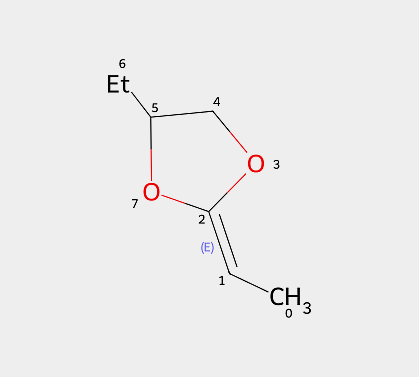 C/C=C1\OCC(CC)O1